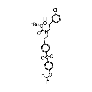 CC(C)(C)OC(=O)N(CCc1ccc(S(=O)(=O)c2ccc(OC(F)F)cc2)cc1)C[C@H](O)c1cccc(Cl)c1